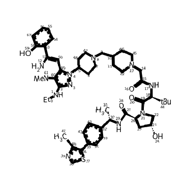 CCNc1nn(C2CCN(CC3CCN(CC(=O)N[C@H](C(=O)N4C[C@H](O)C[C@H]4C(=O)N[C@@H](C)c4ccc(-c5scnc5C)cc4)C(C)(C)C)CC3)CC2)c(/C=C(\N)c2ccccc2O)c1NC